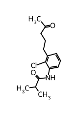 CC(=O)CCCc1cccc(NC(=O)C(C)C)c1Cl